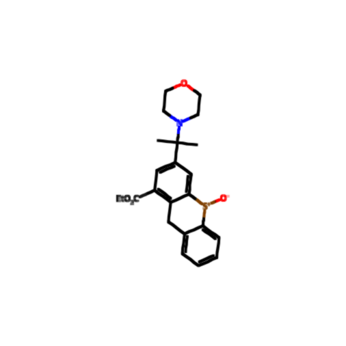 CCOC(=O)c1cc(C(C)(C)N2CCOCC2)cc2c1Cc1ccccc1[S+]2[O-]